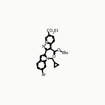 CCOC(=O)c1ccc2c(C(=O)OC(C)(C)C)c(-c3cc4ccc(Br)cc4n3CC3CC3)nn2c1